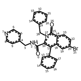 O=C(NCc1ccncc1)c1c(-c2ccccc2)c2cc(Br)ccc2c(=O)n1Cc1ccccc1